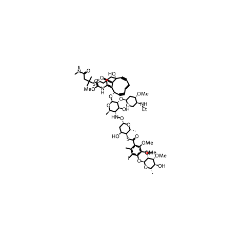 CCN[C@H]1CO[C@@H](O[C@H]2[C@H](O[C@H]3C#C/C=C/C#C[C@]4(O)CC(=O)C(NC(=O)OC)=C3/C4=C\CSSC(C)(C)CC(=O)N(C)C)O[C@H](C)[C@@H](NO[C@H]3C[C@H](O)[C@H](SC(=O)c4c(C)c(I)c(O[C@@H]5O[C@@H](C)[C@H](O)[C@@H](OC)[C@H]5O)c(OC)c4OC)[C@@H](C)O3)[C@@H]2O)C[C@@H]1OC